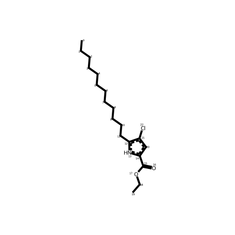 CCCCCCCCCCCCc1[nH]c(C(=O)OCC)cc1Cl